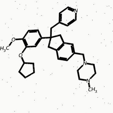 COc1ccc(C2(Cc3ccncc3)Cc3ccc(CN4CCN(C)CC4)cc3C2)cc1OC1CCCC1